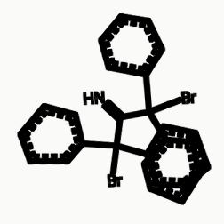 N=C(C(Br)(c1ccccc1)c1ccccc1)C(Br)(c1ccccc1)c1ccccc1